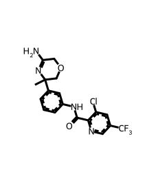 CC1(c2cccc(NC(=O)c3ncc(C(F)(F)F)cc3Cl)c2)COCC(N)=N1